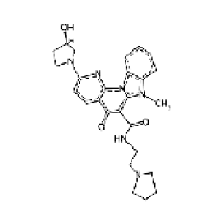 Cn1c2ccccc2n2c3nc(N4CC[C@@H](O)C4)ccc3c(=O)c(C(=O)NCCN3CCCC3)c12